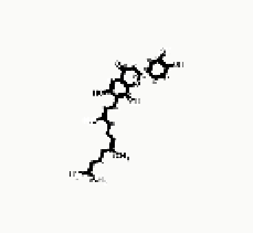 CC(C)=CCCC(C)=CCCC(C)=CCc1c(O)cc2c(c1O)O[C@@H](c1ccc(O)c(O)c1)CC2=O